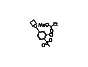 CCC(=O)OC.CS(=O)(=O)c1ccc(C2C3CCC32)cc1Cl